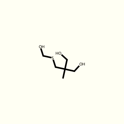 CC(CO)(CO)CSCO